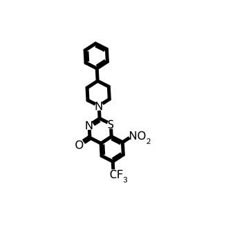 O=c1nc(N2CCC(c3ccccc3)CC2)sc2c([N+](=O)[O-])cc(C(F)(F)F)cc12